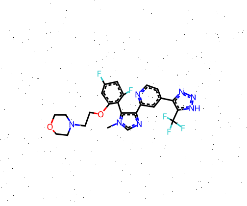 Cn1cnc(-c2cc(-c3nn[nH]c3C(F)(F)F)ccn2)c1-c1c(F)cc(F)cc1OCCN1CCOCC1